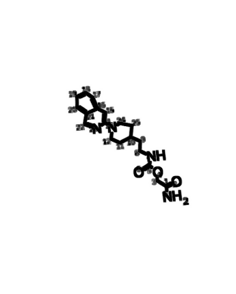 NC(=O)COC(=O)NCCC1CCN(c2cc3ccccc3cn2)CC1